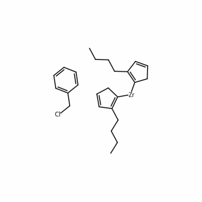 CCCCC1=[C]([Zr][C]2=C(CCCC)C=CC2)CC=C1.ClCc1ccccc1